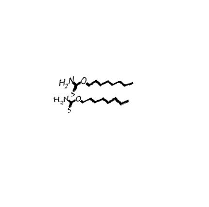 CCCCCCCCOC(N)=S.CCCCCCCCOC(N)=S